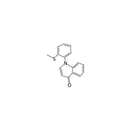 CSc1ccccc1-n1ccc(=O)c2ccccc21